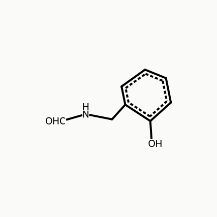 O=CNCc1ccccc1O